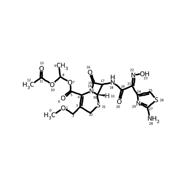 COCC1=C(C(=O)OC(C)OC(C)=O)N2C(=O)C(NC(=O)C(=NO)c3csc(N)n3)[C@@H]2SC1